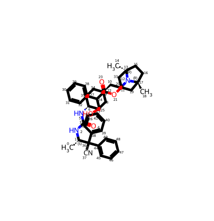 C[C@H](NC(=O)N[C@H]1CC[C@H](CCN2[C@]3(C)CC[C@]2(C)CC(OC(=O)C(CO)c2ccccc2)C3)CC1)C(C#N)(c1ccccc1)c1ccccc1